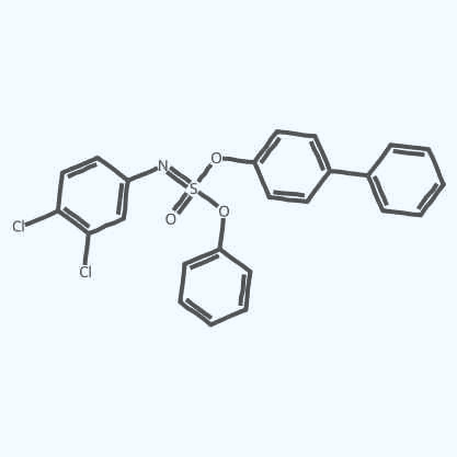 O=S(=Nc1ccc(Cl)c(Cl)c1)(Oc1ccccc1)Oc1ccc(-c2ccccc2)cc1